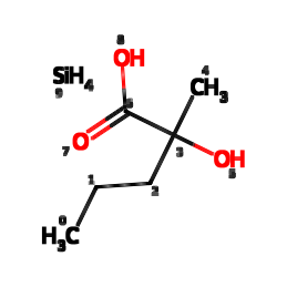 CCCC(C)(O)C(=O)O.[SiH4]